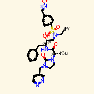 CC(C)CN(C[C@@H](O)[C@H](Cc1ccccc1)NC(=O)[C@@H](N1CCN(Cc2ccnnc2)C1=O)C(C)(C)C)S(=O)(=O)c1ccc(/C=N/O)cc1